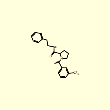 O=C(NCCc1ccccc1)C1CCCN1C(=O)c1cccc(C(F)(F)F)c1